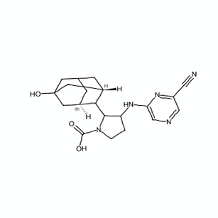 N#Cc1cncc(NC2CCN(C(=O)O)C2C2[C@@H]3CC4C[C@H]2CC(O)(C4)C3)n1